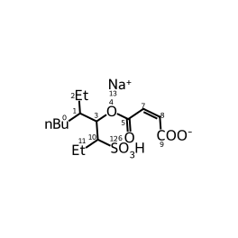 CCCCC(CC)C(OC(=O)/C=C\C(=O)[O-])C(CC)S(=O)(=O)O.[Na+]